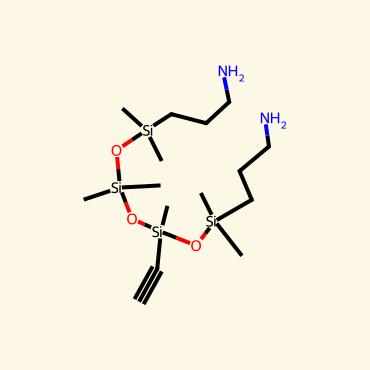 C#C[Si](C)(O[Si](C)(C)CCCN)O[Si](C)(C)O[Si](C)(C)CCCN